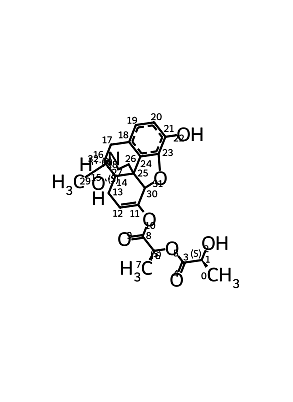 C[C@H](O)C(=O)O[C@@H](C)C(=O)OC1=CC[C@@]2(O)[C@H]3Cc4ccc(O)c5c4C2(CCN3C)C1O5